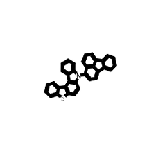 c1ccc2c(c1)-c1cccc3c(-n4c5ccccc5c5c6c(ccc54)sc4ccccc46)ccc-2c13